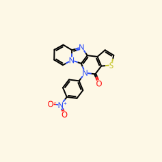 O=c1c2sccc2c2nc3ccccn3c2n1-c1ccc([N+](=O)[O-])cc1